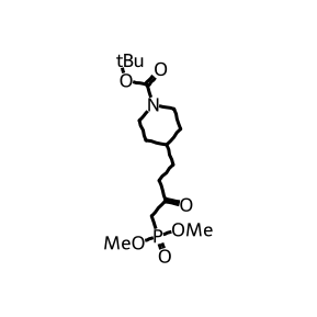 COP(=O)(CC(=O)CCC1CCN(C(=O)OC(C)(C)C)CC1)OC